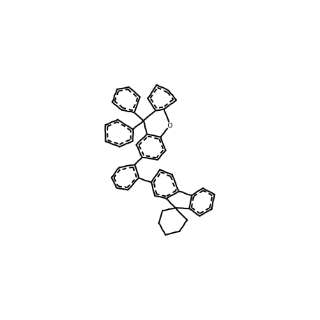 c1ccc(C2(c3ccccc3)c3ccccc3Oc3ccc(-c4ccccc4-c4ccc5c(c4)C4(CCCCC4)c4ccccc4-5)cc32)cc1